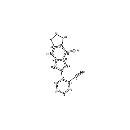 N#Cc1ccccc1-c1nc2c(=O)n3c(nc2s1)CCC3